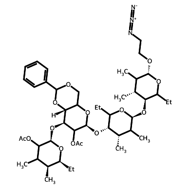 CCC1O[C@@H](OCCN=[N+]=[N-])C(C)[C@@H](C)[C@@H]1O[C@@H]1OC(CC)[C@@H](O[C@@H]2OC3COC(c4ccccc4)O[C@H]3[C@H](O[C@H]3O[C@@H](CC)[C@@H](C)C(C)C3OC(C)=O)C2OC(C)=O)[C@@H](C)C1C